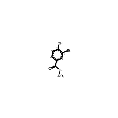 CCc1cc(C(=O)O[N+](=O)[O-])ccc1O